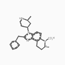 CC1CC(n2c(Cc3ccccc3)nc3c4c(ccc32)N(C(=O)O)[C@@H](C)CC4)CCN1